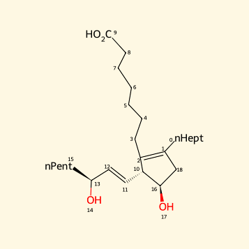 CCCCCCCC1=C(CCCCCCC(=O)O)[C@@H](C=C[C@@H](O)CCCCC)[C@H](O)C1